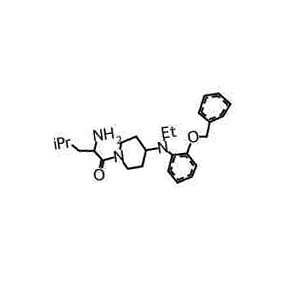 CCN(c1ccccc1OCc1ccccc1)C1CCN(C(=O)C(N)CC(C)C)CC1